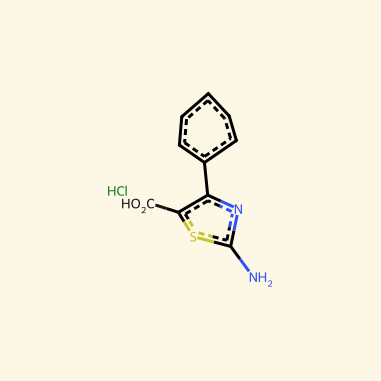 Cl.Nc1nc(-c2ccccc2)c(C(=O)O)s1